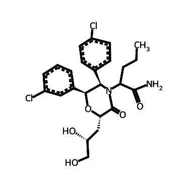 CCCC(C(N)=O)N1C(=O)[C@H](C[C@@H](O)CO)O[C@@H](c2cccc(Cl)c2)[C@H]1c1ccc(Cl)cc1